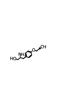 C#CCOc1ccc(C[C@H](N)CO)cc1